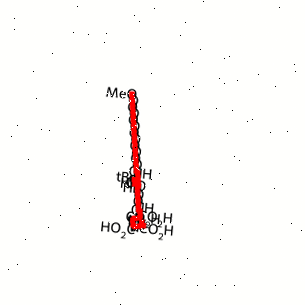 COCCOCCOCCOCCOCCOCCOCCOCCOCCOCCOCCOCCC(=O)NCCCCC(NC(=O)OC(C)(C)C)C(=O)NCCOCCOCCNC(=O)CCC(C(=O)O)N1CCN(CC(=O)O)CCN(CC(=O)O)CCN(CC(=O)O)CC1